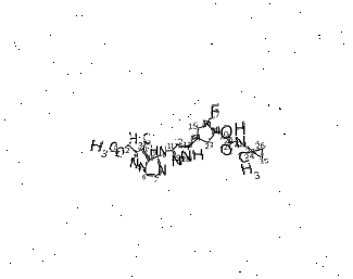 COCc1nn2ccnc(Nc3cc([C@H]4C[C@@H](F)[C@@H](OC(=O)NC5(C)CC5)C4)[nH]n3)c2c1C